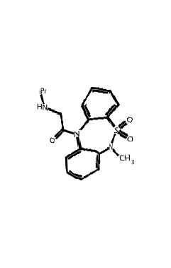 CC(C)NCC(=O)N1c2ccccc2N(C)S(=O)(=O)c2ccccc21